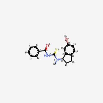 CN(C(=S)NC(=O)c1ccccc1)C1CCc2ccc(Br)cc21